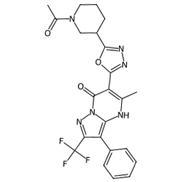 CC(=O)N1CCCC(c2nnc(-c3c(C)[nH]c4c(-c5ccccc5)c(C(F)(F)F)nn4c3=O)o2)C1